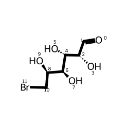 O=C[C@H](O)[C@@H](O)[C@@H](O)[C@H](O)CBr